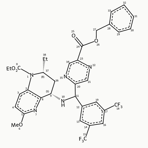 CCOC(=O)N1c2ccc(OC)nc2[C@@H](NC(c2cc(C(F)(F)F)cc(C(F)(F)F)c2)c2cnc(C(=O)OCc3ccccc3)cn2)C[C@H]1CC